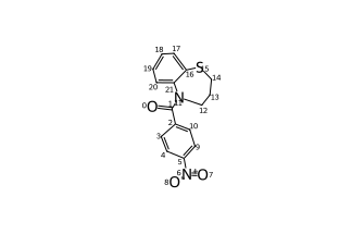 O=C(c1ccc([N+](=O)[O-])cc1)N1CCCSc2ccccc21